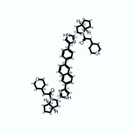 O=C(CC1CCOCC1)N1[C@H](c2nc(-c3ccc(-c4ccc5cc(-c6c[nH]c([C@@H]7C[C@@H]8CCC[C@@H]8N7C(=O)CC7CCOCC7)n6)ccc5c4)cc3)c[nH]2)C[C@@H]2CCC[C@@H]21